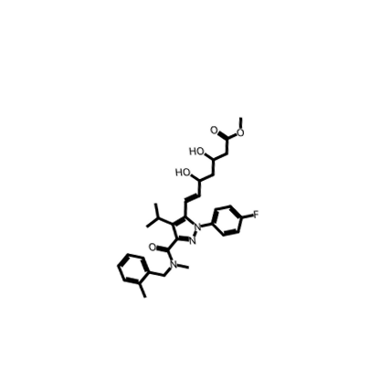 COC(=O)CC(O)CC(O)C=Cc1c(C(C)C)c(C(=O)N(C)Cc2ccccc2C)nn1-c1ccc(F)cc1